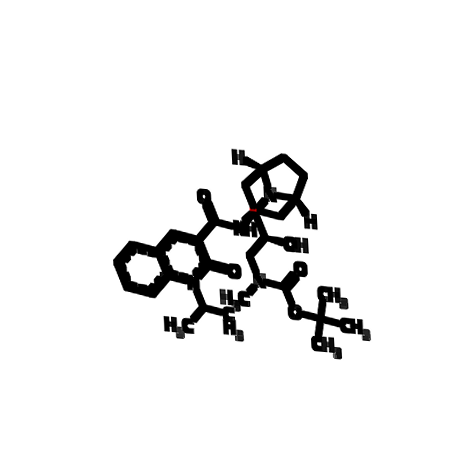 CC(C)n1c(=O)c(C(=O)N[C@@H]2C[C@H]3CC[C@@H](C2)N3C[C@@H](O)CN(C)C(=O)OC(C)(C)C)cc2ccccc21